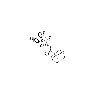 O=C(COC(F)(F)S(=O)(=O)O)C12CC3CC(CC(C3)C1)C2